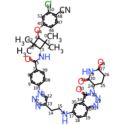 CC1(C)[C@H](NC(=O)c2ccc(-n3cc(CCNc4ccc5nnn(C6CCC(=O)NC6=O)c(=O)c5c4)nn3)cc2)C(C)(C)[C@H]1Oc1ccc(C#N)c(Cl)c1